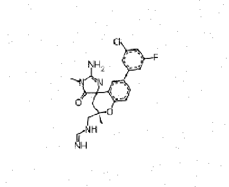 CN1C(=O)C2(C[C@@](C)(CNC=N)Oc3ccc(-c4cc(F)cc(Cl)c4)cc32)N=C1N